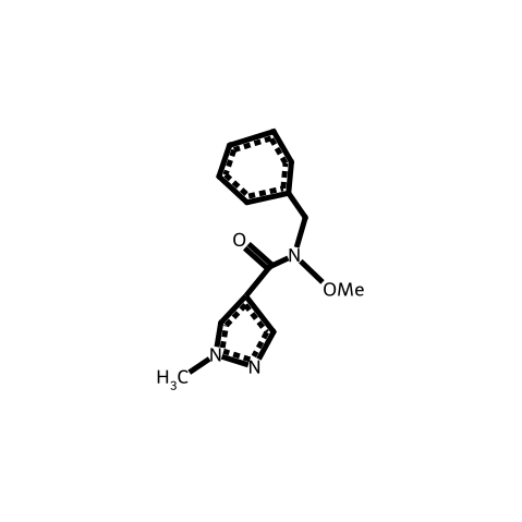 CON(Cc1ccccc1)C(=O)c1cnn(C)c1